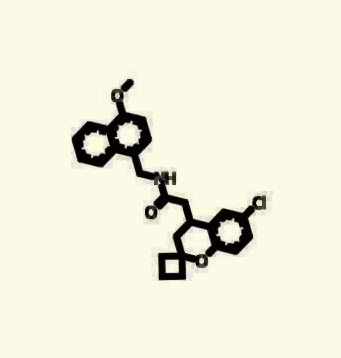 COc1ccc(CNC(=O)CC2CC3(CCC3)Oc3ccc(Cl)cc32)c2ccccc12